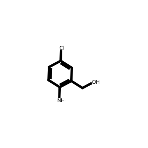 [NH]c1ccc(Cl)cc1CO